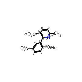 COc1ccc([N+](=O)[O-])cc1-c1nc(C)ccc1C(=O)O